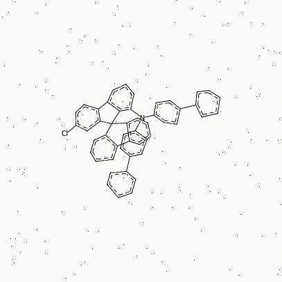 Clc1ccc2c(c1)C1(c3ccccc3-c3ccccc31)c1c-2cccc1N(c1ccc(-c2ccccc2)cc1)c1ccc(-c2ccccc2)cc1